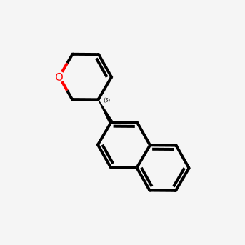 C1=C[C@@H](c2ccc3ccccc3c2)COC1